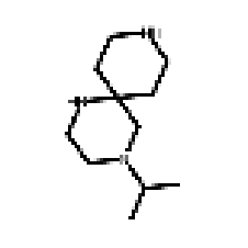 CC(C)N1CCNC2(CCNCC2)C1